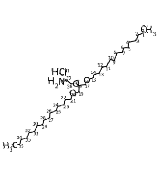 CCCCCCCCCCCCCCCCOCC(COCCCCCCCCCCCCCCCC)OCCN.Cl